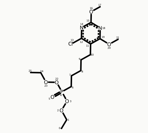 CCOOP(=O)(CCCCCc1c(Cl)nc(OC)nc1OC)OOCC